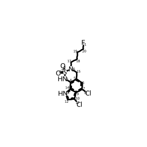 O=S1(=O)Nc2c(cc(Cl)c3c(Cl)c[nH]c23)CN1CCCCF